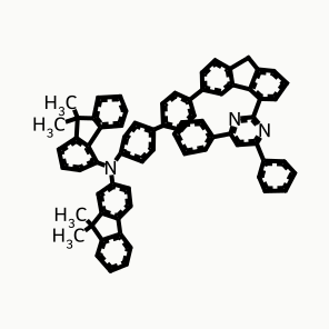 CC1(C)c2ccccc2-c2ccc(N(c3ccc(-c4ccc(-c5ccc6c(c5)-c5c(cccc5-c5nc(-c7ccccc7)cc(-c7ccccc7)n5)C6)cc4)cc3)c3cccc4c3-c3ccccc3C4(C)C)cc21